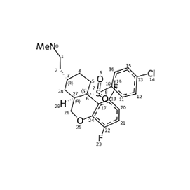 CNCC[C@@H]1CC[C@@]2(S(=O)(=O)c3ccc(Cl)cc3)c3c(F)ccc(F)c3OC[C@H]2C1